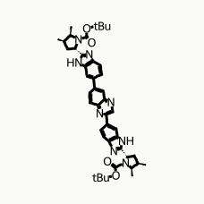 C[C@@H]1C[C@@H](c2nc3ccc(-c4ccc5nc(-c6ccc7nc([C@@H]8C[C@@H](C)[C@@H](C)N8C(=O)OC(C)(C)C)[nH]c7c6)cnc5c4)cc3[nH]2)N(C(=O)OC(C)(C)C)[C@@H]1C